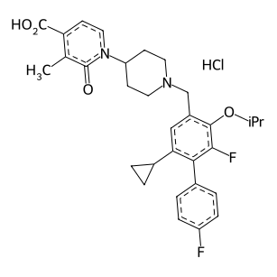 Cc1c(C(=O)O)ccn(C2CCN(Cc3cc(C4CC4)c(-c4ccc(F)cc4)c(F)c3OC(C)C)CC2)c1=O.Cl